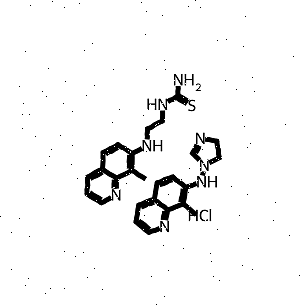 Cc1c(NCCNC(N)=S)ccc2cccnc12.Cc1c(NN2C=NCC2)ccc2cccnc12.Cl